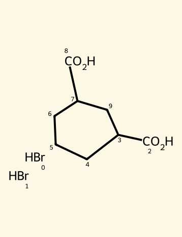 Br.Br.O=C(O)C1CCCC(C(=O)O)C1